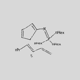 C=CC=CCCC.CCCCCCP(CCCCCC)(CCCCCC)=NC1=CC=CC1.[Ti]